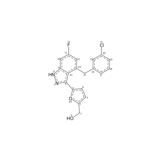 OCc1ccc(-c2n[nH]c3cc(F)cc(Cc4cccc(Cl)c4)c23)o1